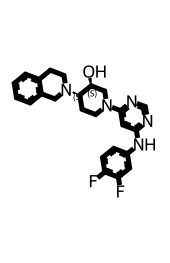 O[C@H]1CN(c2cc(Nc3ccc(F)c(F)c3)ncn2)CC[C@@H]1N1CCc2ccccc2C1